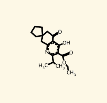 CCOC(=O)c1c(C(C)C)nc2c(c1O)C(=O)CC1(CCCC1)C2